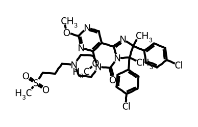 COc1ncc(C2=NC(C)(c3ccc(Cl)cc3)C(C)(c3ccc(Cl)cc3)N2C(=O)N2CCN(CCCS(C)(=O)=O)CC2)c(OC)n1